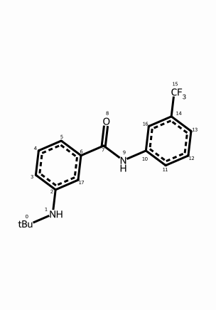 CC(C)(C)Nc1cccc(C(=O)Nc2cccc(C(F)(F)F)c2)c1